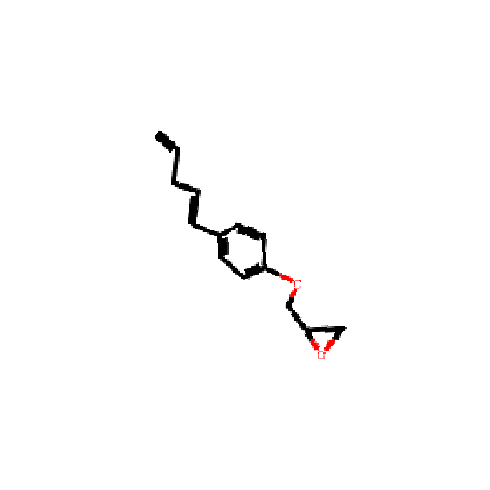 C=CCC=Cc1ccc(OCC2CO2)cc1